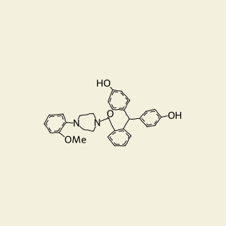 COc1ccccc1N1CCN(C(=O)c2ccccc2C(c2ccc(O)cc2)c2ccc(O)cc2)CC1